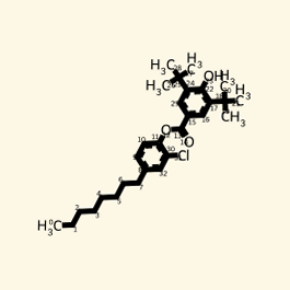 CCCCCCCCc1ccc(OC(=O)c2cc(C(C)(C)C)c(O)c(C(C)(C)C)c2)c(Cl)c1